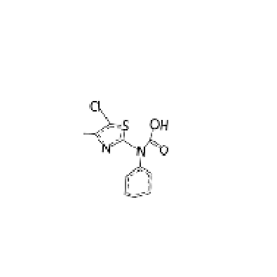 Cc1nc(N(C(=O)O)c2ccccc2)sc1Cl